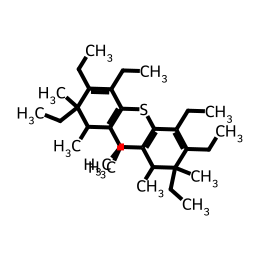 CCC1=C(CC)C(C)(CC)C(C)C(CC)=C1SC1=C(CC)C(C)C(C)(CC)C(CC)=C1CC